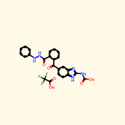 O=C(O)C(F)(F)F.O=C(O)Nc1nc2cc(C(=O)c3ccccc3C(=O)NNc3ccccc3)ccc2[nH]1